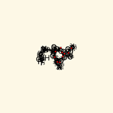 CC[C@H]1OC(=O)[C@H](C)[C@@H](O[C@H]2C[C@@](C)(OC)[C@@H](OC(=O)c3ccccc3)[C@H](C)O2)[C@H](C)[C@@H](O[C@@H]2O[C@H](C)CC(N(C)C)[C@H]2C)[C@@](C)(OC)C[C@@H](C)C(=O)[C@H](C)[C@@H]2N(CCCCn3cc(-c4cccc(NC(=O)C(F)(F)F)c4)nn3)C(=O)O[C@@]21C